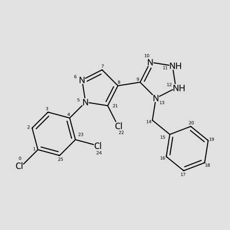 Clc1ccc(-n2ncc(C3=NNNN3Cc3ccccc3)c2Cl)c(Cl)c1